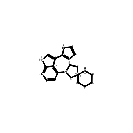 c1c[nH]c(-c2c[nH]c3nccc(N4CC[C@@]5(CCCCN5)C4)c23)n1